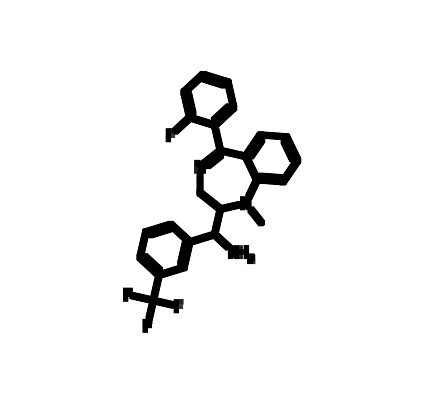 CN1c2ccccc2C(c2ccccc2F)=NCC1C(N)c1cccc(C(F)(F)F)c1